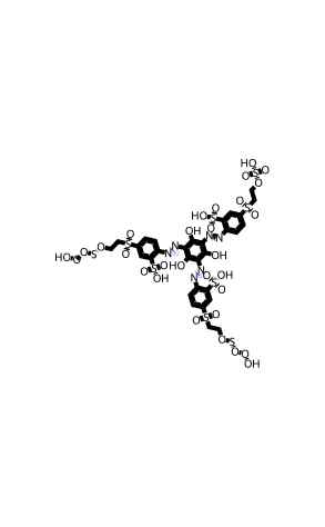 O=S(=O)(O)OCCS(=O)(=O)c1ccc(/N=N/c2c(O)c(/N=N/c3ccc(S(=O)(=O)CCOSOOO)cc3S(=O)(=O)O)c(O)c(/N=N/c3ccc(S(=O)(=O)CCOSOOO)cc3S(=O)(=O)O)c2O)c(S(=O)(=O)O)c1